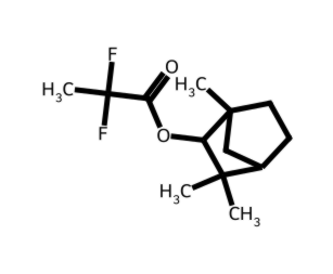 CC(F)(F)C(=O)OC1C2(C)CCC(C2)C1(C)C